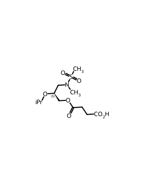 CC(C)O[C@H](COC(=O)CCC(=O)O)CN(C)S(C)(=O)=O